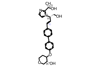 C[C@H](O)c1nccn1[C@@H](/C=C/c1ccc(-c2ccc(OC3CCOC[C@H]3O)cc2)cc1)CO